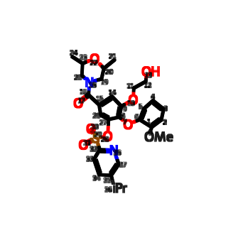 COc1ccccc1Oc1c(OCCO)cc(C(=O)N2CC(C)OC(C)C2)cc1OS(=O)(=O)c1ccc(C(C)C)cn1